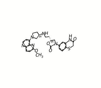 COc1ccc2nccc(N3CC[C@@H](NCC[C@@H]4CN(c5ccc6c(c5)NC(=O)CS6)C(=O)O4)C3)c2n1